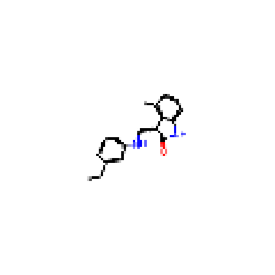 CCc1cccc(NC=C2C(=O)Nc3cccc(C)c32)c1